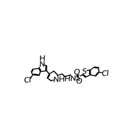 O=S(=O)(NCCCC1CC(c2c[nH]c3ccc(Cl)cc23)=CCN1)c1cc2cc(Cl)ccc2s1